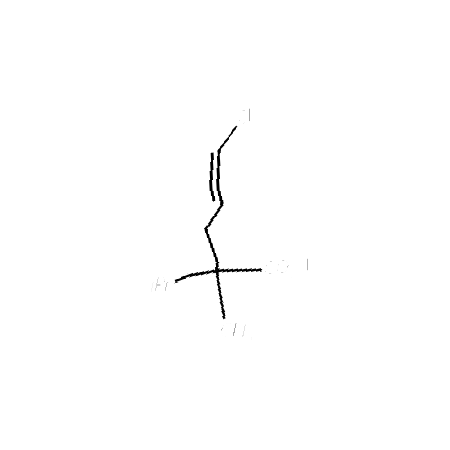 CC(C)C(C)(CC=CCl)C(=O)O